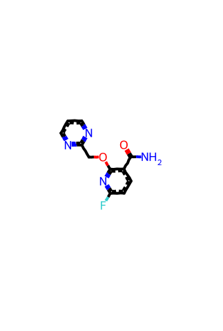 NC(=O)c1ccc(F)nc1OCc1ncccn1